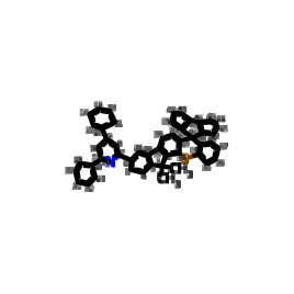 CC1(C)c2ccc(-c3cc(-c4ccccc4)cc(-c4ccccc4)n3)cc2-c2ccc3c(c21)Sc1ccccc1C31c2ccccc2-c2ccccc21